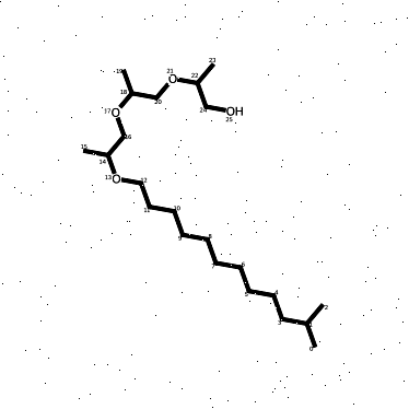 CC(C)CCCCCCCCCCOC(C)COC(C)COC(C)CO